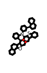 c1cc(-c2cccc3ccccc23)cc(N(c2ccccc2-c2cccc3oc4c5ccccc5ccc4c23)c2cccc3c2sc2ccccc23)c1